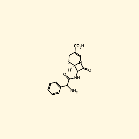 NC(C(=O)NC1C(=O)N2C=C(C(=O)O)CS[C@H]12)c1ccccc1